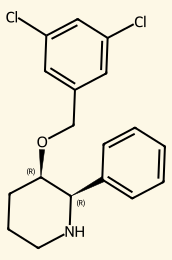 Clc1cc(Cl)cc(CO[C@@H]2CCCN[C@@H]2c2ccccc2)c1